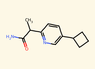 CC(C(N)=O)c1ccc(C2CCC2)cn1